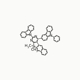 C[Si]1(C)c2cc3ccccc3cc2-c2c(-c3ccc4c(c3)c3ccccc3n4-c3ccccc3)nc(-n3c4ccccc4c4ccccc43)nc21